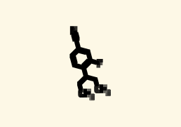 CCC(CC)c1ccc(C#N)cc1F